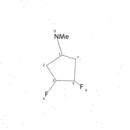 CNC1CC(F)C(F)C1